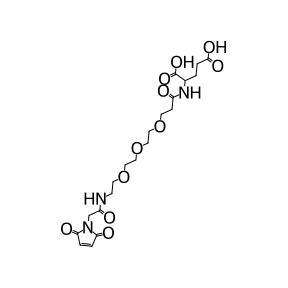 O=C(O)CCC(NC(=O)CCOCCOCCOCCNC(=O)CN1C(=O)C=CC1=O)C(=O)O